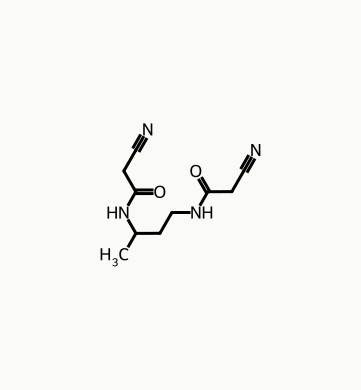 CC(CCNC(=O)CC#N)NC(=O)CC#N